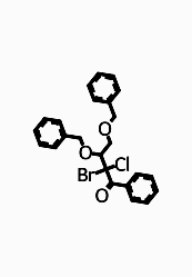 O=C(c1ccccc1)C(Cl)(Br)C(COCc1ccccc1)OCc1ccccc1